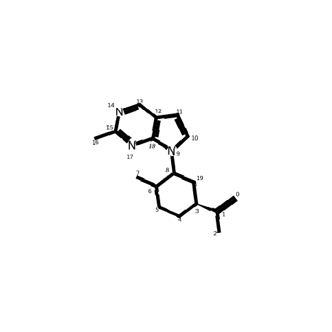 C=C(C)[C@H]1CCC(C)C(n2ccc3[c]nc(C)nc32)C1